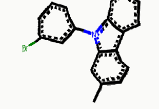 Cc1ccc2c3ccccc3n(-c3cccc(Br)c3)c2c1